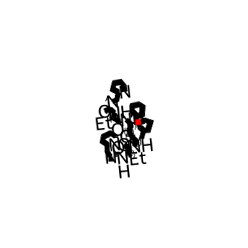 CC[C@H](NC(=O)N(C)Cc1ccccn1)C(=O)N[C@@H](Cc1ccccc1)[C@@H]1O[C@@H]1[C@H](Cc1ccccc1)NC(=O)[C@H](CC)NC(=O)N(C)Cc1ccccn1